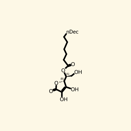 CCCCCCCCCCCCCCCC(=O)O[C@@H](CO)[C@H]1OC(=O)C(O)=C1O